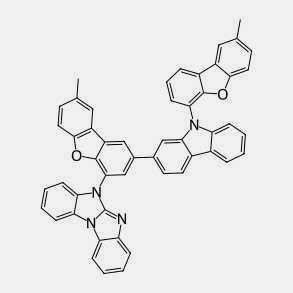 Cc1ccc2oc3c(-n4c5ccccc5c5ccc(-c6cc(-n7c8ccccc8n8c9ccccc9nc78)c7oc8ccc(C)cc8c7c6)cc54)cccc3c2c1